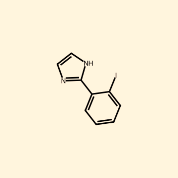 Ic1ccccc1-c1ncc[nH]1